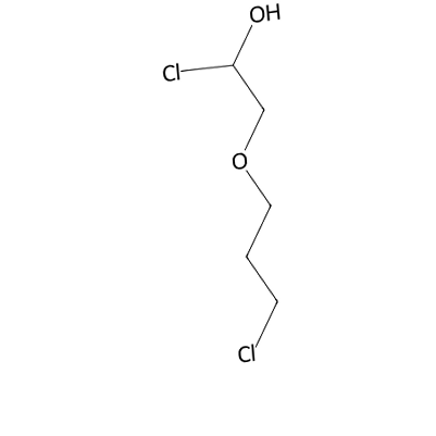 OC(Cl)COCCCCl